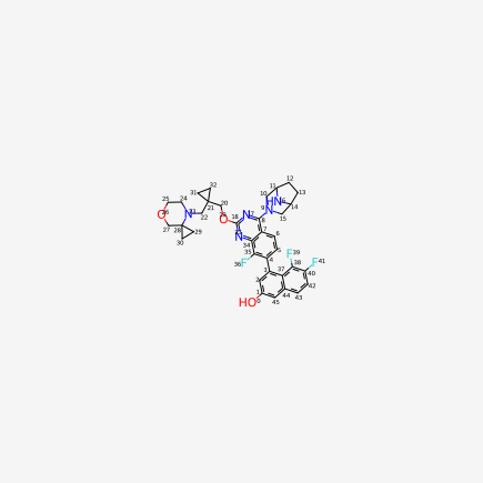 Oc1cc(-c2ccc3c(N4CC5CCC(C4)N5)nc(OCC4(CN5CCOCC56CC6)CC4)nc3c2F)c2c(F)c(F)ccc2c1